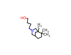 CC1(C)CCC2CN(CCCCO)CC1(C)C2